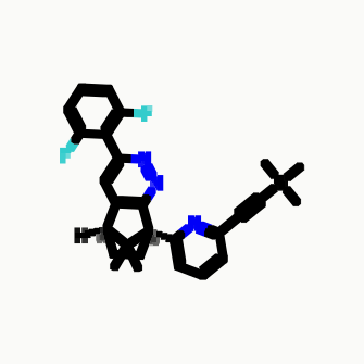 CC1(C)[C@H]2CC[C@]1(c1cccc(C#C[Si](C)(C)C)n1)c1nnc(-c3c(F)cccc3F)cc12